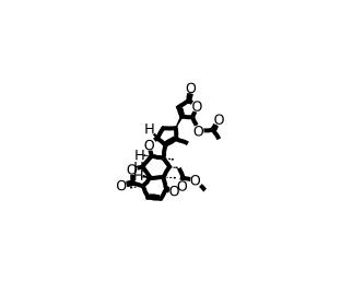 COC(=O)C[C@H]1[C@]2(C)C3=C(C)[C@H](C4=CC(=O)OC4OC(C)=O)C[C@H]3O[C@@H]2[C@@H]2OC(=O)[C@]3(C)C=CC(=O)[C@@]1(C)[C@@H]23